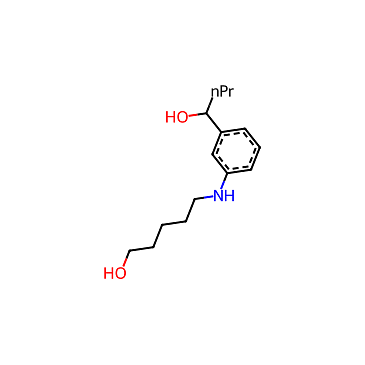 CCCC(O)c1cccc(NCCCCCO)c1